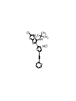 CC(C)(C)Nc1c(-c2ccc(C#Cc3ccccn3)s2)nc2sc(Cl)cn12.Cl